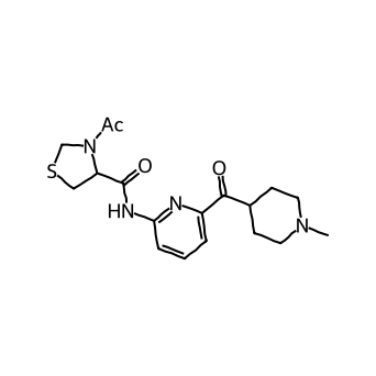 CC(=O)N1CSCC1C(=O)Nc1cccc(C(=O)C2CCN(C)CC2)n1